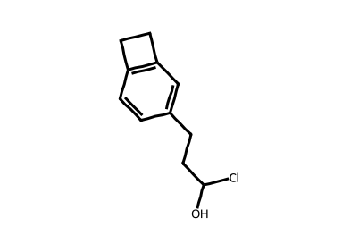 OC(Cl)CCc1ccc2c(c1)CC2